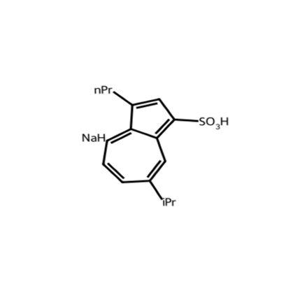 CCCc1cc(S(=O)(=O)O)c2cc(C(C)C)cccc1-2.[NaH]